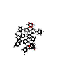 Cc1ccc2c(c1)c1cc(C)ccc1n2-c1nc(-n2c3ccc(C)cc3c3cc(C)ccc32)c(-n2c3ccc(C)cc3c3cc(C)ccc32)c(-c2ccc(-c3nc(-c4ccccc4)nc(-c4ccccc4)n3)c(-c3nc(-c4ccccc4)nc(-c4ccccc4)n3)c2)c1-c1ccccc1